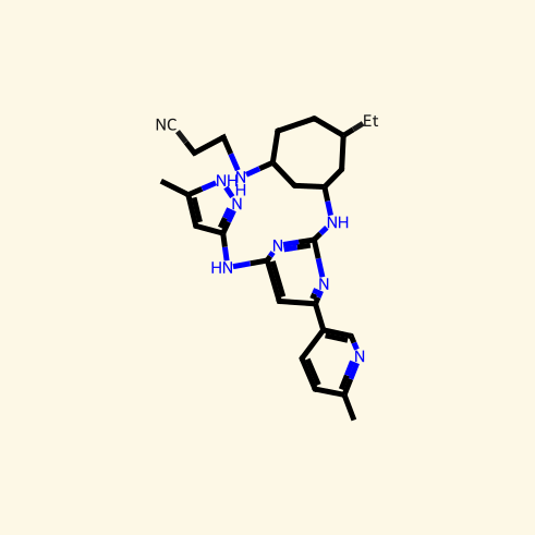 CCC1CCC(NCCC#N)CC(Nc2nc(Nc3cc(C)[nH]n3)cc(-c3ccc(C)nc3)n2)C1